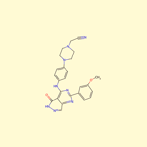 COc1cccc(-c2nc(Nc3ccc(N4CCN(CC#N)CC4)cc3)c3c(=O)[nH]ncc3n2)c1